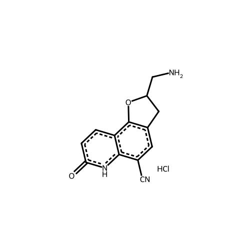 Cl.N#Cc1cc2c(c3ccc(=O)[nH]c13)OC(CN)C2